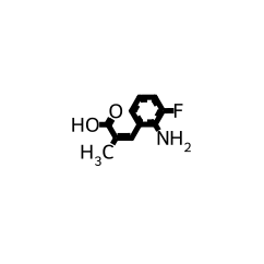 CC(=Cc1cccc(F)c1N)C(=O)O